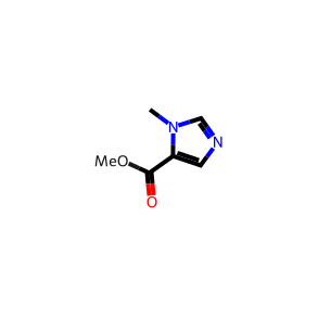 COC(=O)c1cncn1C